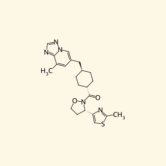 Cc1nc([C@@H]2CCON2C(=O)[C@H]2CC[C@H](Cc3cc(C)c4ncnn4c3)CC2)cs1